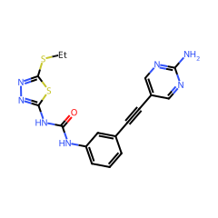 CCSc1nnc(NC(=O)Nc2cccc(C#Cc3cnc(N)nc3)c2)s1